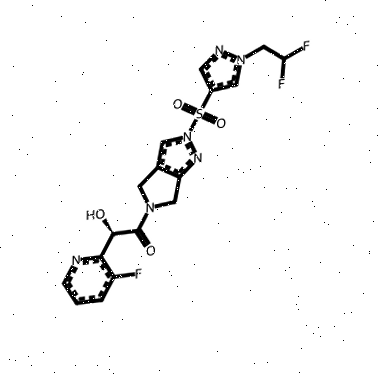 O=C([C@H](O)c1ncccc1F)N1Cc2cn(S(=O)(=O)c3cnn(CC(F)F)c3)nc2C1